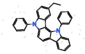 CCc1ccc2c(c1)c1c(ccc3c4ccccc4n(-c4ccccc4)c31)n2-c1ccccc1